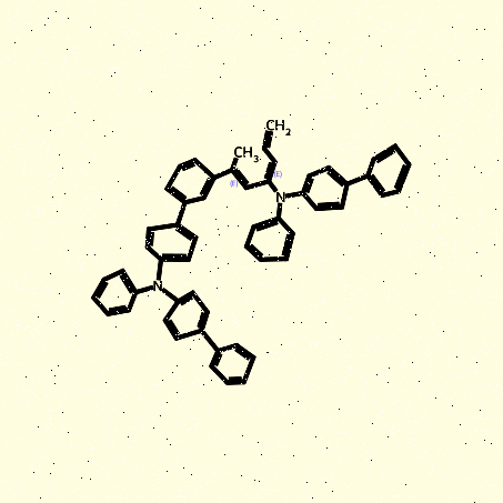 C=C/C=C(\C=C(/C)c1cccc(-c2ccc(N(c3ccccc3)c3ccc(-c4ccccc4)cc3)cc2)c1)N(c1ccccc1)c1ccc(-c2ccccc2)cc1